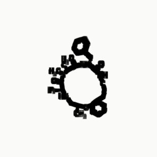 CC(C)[C@@H]1NC[C@@H](C)Oc2ccccc2CCCNC(=O)[C@@H](Cc2ccccc2)NC(=O)[C@@H](C)N(C)C1=O